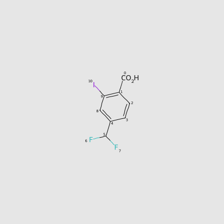 O=C(O)c1ccc(C(F)F)cc1I